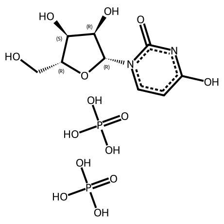 O=P(O)(O)O.O=P(O)(O)O.O=c1nc(O)ccn1[C@@H]1O[C@H](CO)[C@@H](O)[C@H]1O